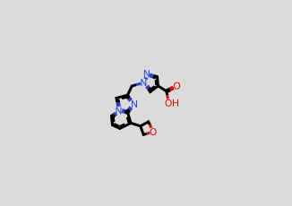 O=C(O)c1cnn(Cc2cn3cccc(C4COC4)c3n2)c1